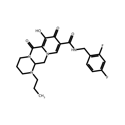 CCCN1CCCN2C(=O)c3c(O)c(=O)c(C(=O)NCc4ccc(F)cc4F)cn3CC12